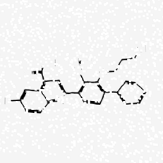 CCCCOc1c(-c2ccccc2)ccc(-c2cc(C(=O)O)c3cc(F)ccc3n2)c1OC